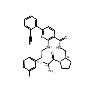 C[C@H](N)C(=O)N1CCC[C@@H]1CNC(=O)c1ccc(-c2ccccc2C#N)nc1NCCc1cccc(F)c1